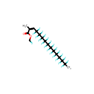 CC(=CC(F)(F)C(F)(F)C(F)(F)C(F)(F)C(F)(F)C(F)(F)C(F)(F)C(F)(F)C(F)(F)C(F)(F)C(F)(F)C(F)(F)F)C(=O)OCF